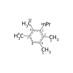 [CH2]CCc1c(C)c(C)cc(C)c1C